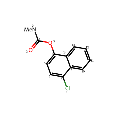 CNC(=O)Oc1ccc(Cl)c2ccccc12